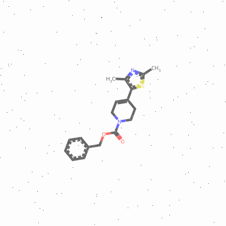 Cc1nc(C)c(C2=CCN(C(=O)OCc3ccccc3)CC2)s1